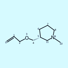 C=CCOC[C@@H]1CCCN(C)C1